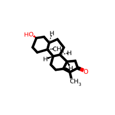 CC1=C2CC[C@H]3[C@@H](CC[C@@H]4C[C@H](O)CC[C@@]43C)[C@@H]2CC1=O